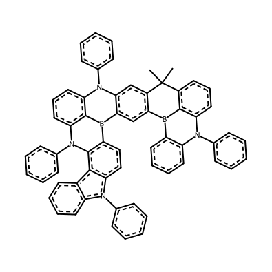 CC1(C)c2cc3c(cc2B2c4ccccc4N(c4ccccc4)c4cccc1c42)B1c2ccc4c(c2N(c2ccccc2)c2cccc(c21)N3c1ccccc1)c1ccccc1n4-c1ccccc1